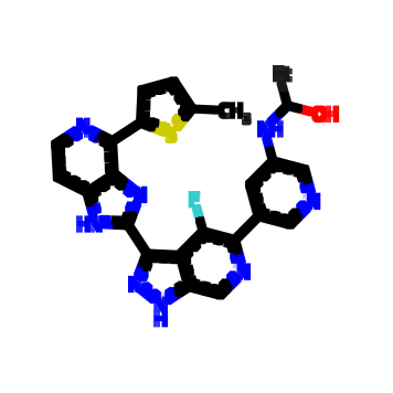 CCC(O)Nc1cncc(-c2ncc3[nH]nc(-c4nc5c(-c6ccc(C)s6)nccc5[nH]4)c3c2F)c1